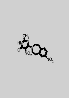 Cc1nc(N2CCc3ccc([N+](=O)[O-])cc3CC2)c([N+](=O)[O-])c(=O)[nH]1